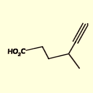 [C]#CC(C)CCC(=O)O